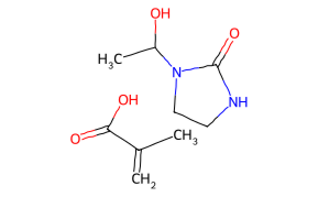 C=C(C)C(=O)O.CC(O)N1CCNC1=O